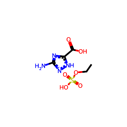 CCOS(=O)(=O)O.Nc1n[nH]c(C(=O)O)n1